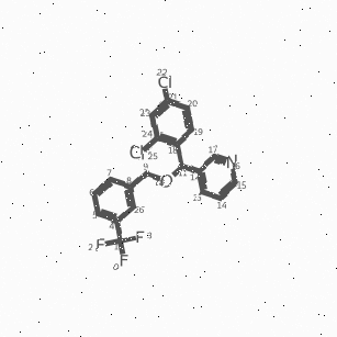 FC(F)(F)c1cccc(COC(c2cccnc2)c2ccc(Cl)cc2Cl)c1